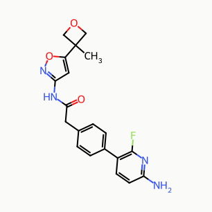 CC1(c2cc(NC(=O)Cc3ccc(-c4ccc(N)nc4F)cc3)no2)COC1